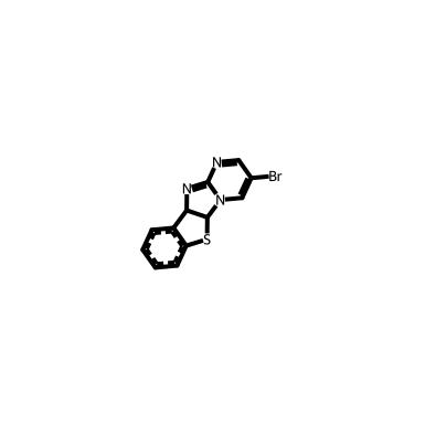 BrC1=CN2C(=NC3c4ccccc4SC32)N=C1